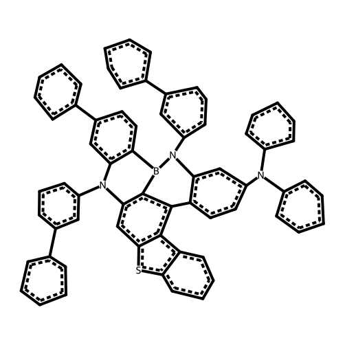 c1ccc(-c2cccc(N3B4c5ccc(-c6ccccc6)cc5N(c5cccc(-c6ccccc6)c5)c5cc6sc7ccccc7c6c(c54)-c4ccc(N(c5ccccc5)c5ccccc5)cc43)c2)cc1